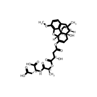 COc1ccc2c3c1O[C@H]1C(OC(=O)C[C@H](O)C(=O)O[C@@H](C)C(=O)N[C@H](CC(=O)O)C(=O)O)=CC[C@@]4(O)[C@@H](C2)N(C)CC[C@]314